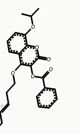 CC/C=C/CCOc1c(OC(=O)c2ccccc2)c(=O)oc2c(OC(C)C)cccc12